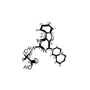 Nc1nc(N2CCN3CCCCC3C2)c2oc3ccccc3c2n1.O=C(O)C(F)(F)F